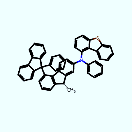 C[C@H]1c2cc(N(c3ccccc3)c3cccc4sc5ccccc5c34)ccc2-c2c1cccc2C1(c2ccccc2)c2ccccc2-c2ccccc21